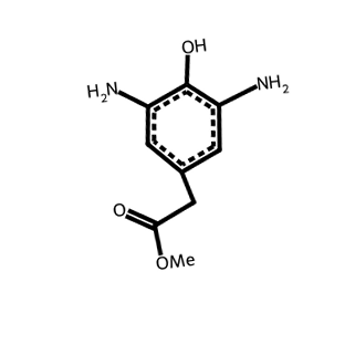 COC(=O)Cc1cc(N)c(O)c(N)c1